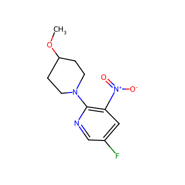 COC1CCN(c2ncc(F)cc2[N+](=O)[O-])CC1